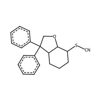 N#CSC1CCCC2C1OCC2(c1ccccc1)c1ccccc1